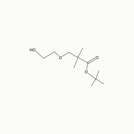 CC(C)(C)OC(=O)C(C)(C)COCCO